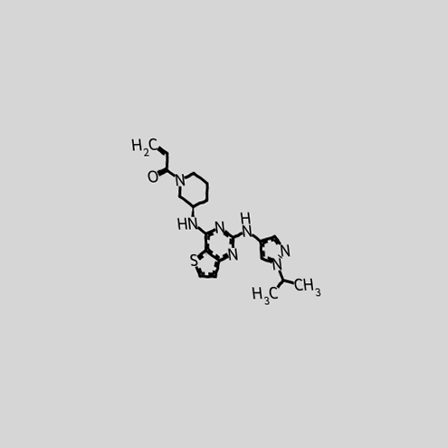 C=CC(=O)N1CCC[C@@H](Nc2nc(Nc3cnn(C(C)C)c3)nc3ccsc23)C1